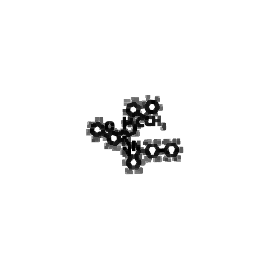 CC1(C)c2ccccc2-c2cccc(C3C=Cc4c(c5c6oc7ccccc7c6ccc5n4-c4nc(C5=CC=C(C6=CC=CCC6)CC5)c5ccccc5n4)C3)c21